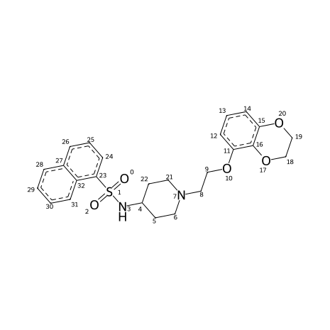 O=S(=O)(NC1CCN(CCOc2cccc3c2OCCO3)CC1)c1cccc2ccccc12